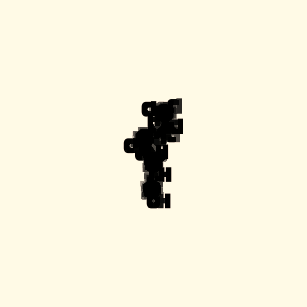 Cc1cc(NCc2ccc(O)cc2)ccc1NC(=O)c1cc(NC(=O)C2C(c3cc(Cl)cc(Cl)c3)C2(Cl)Cl)ccc1Cl